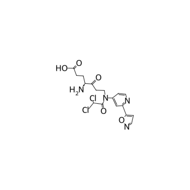 N[C@@H](CCC(=O)O)C(=O)CCN(C(=O)C(Cl)Cl)c1ccnc(-c2ccno2)c1